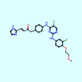 COCCOc1ccc(Nc2ncc(F)c(Nc3ccc(CC(=O)/C=C/c4ncc[nH]4)cc3)n2)cc1F